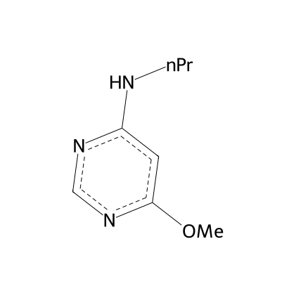 CCCNc1cc(OC)ncn1